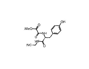 COC(=O)C(=O)NC(Cc1ccc(O)cc1)C(=O)NCC#N